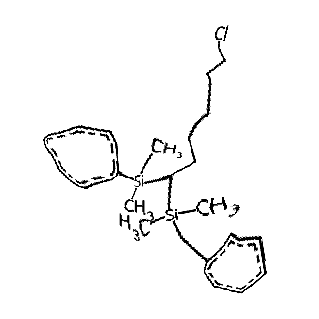 C[Si](C)(Cc1ccccc1)C(CCCCCCl)[Si](C)(C)c1ccccc1